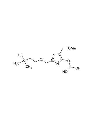 COCc1cn(COCC[Si](C)(C)C)nc1OB(O)O